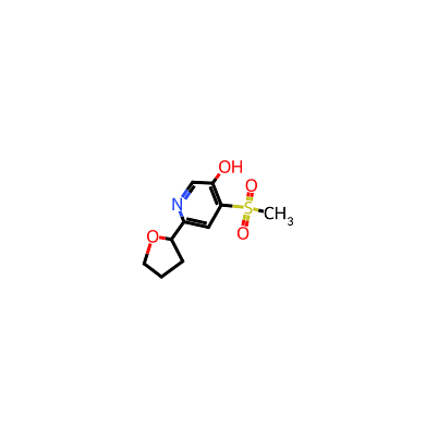 CS(=O)(=O)c1cc(C2CCCO2)ncc1O